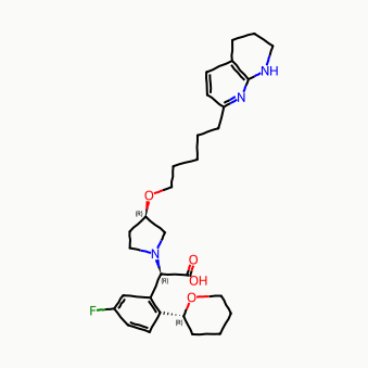 O=C(O)[C@@H](c1cc(F)ccc1[C@H]1CCCCO1)N1CC[C@@H](OCCCCCc2ccc3c(n2)NCCC3)C1